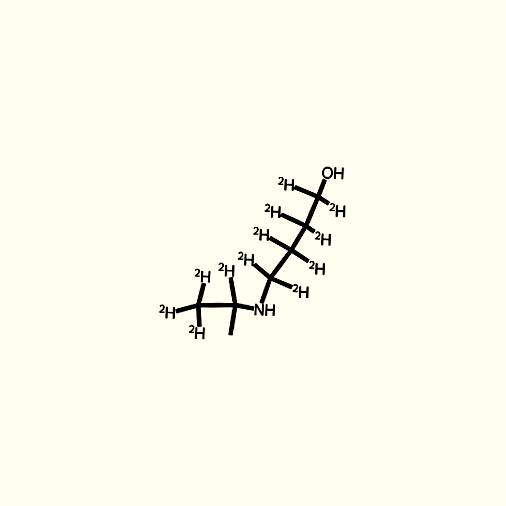 [2H]C([2H])([2H])C([2H])(C)NC([2H])([2H])C([2H])([2H])C([2H])([2H])C([2H])([2H])O